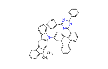 CC1(C)c2ccccc2-c2cc3c4ccccc4n(-c4ccc5c(c4)c4ccccc4c4cccc(-c6nc(-c7ccccc7)nc(-c7ccccc7)n6)c45)c3cc21